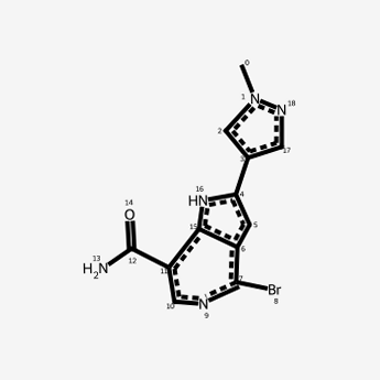 Cn1cc(-c2cc3c(Br)ncc(C(N)=O)c3[nH]2)cn1